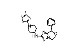 Cc1nsc(N2CCC(Nc3nc4n(n3)CCOC4c3ccccc3)CC2)n1